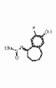 CC(C)(C)[S@+]([O-])/N=C1\CCCCc2cc(O)c(F)cc21